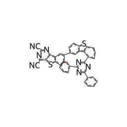 N#Cc1nc(C#N)c2sc3ccc(-c4ccc5sc6cccc(-c7nc(-c8ccccc8)nc(-c8ccccc8)n7)c6c5c4)cc3c2n1